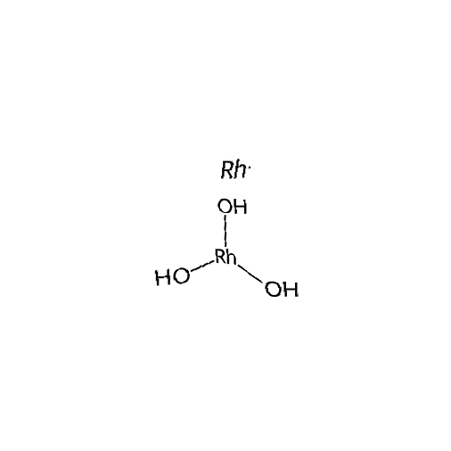 [OH][Rh]([OH])[OH].[Rh]